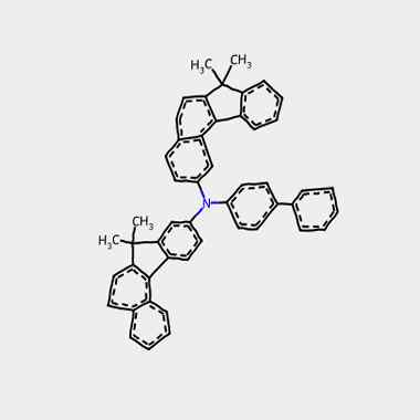 CC1(C)c2cc(N(c3ccc(-c4ccccc4)cc3)c3ccc4ccc5c(c4c3)-c3ccccc3C5(C)C)ccc2-c2c1ccc1ccccc21